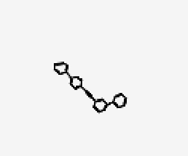 C(#Cc1cccc(-c2ccccc2)c1)c1ccc(-c2ccccc2)cc1